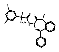 CC(=O)NC(C)(C(=O)NC1N=C(c2ccccc2)c2ccccc2N(C)C1=O)c1cc(F)cc(F)c1